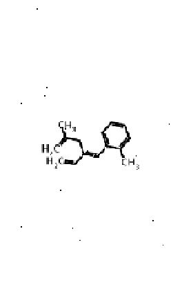 C=C/C(=C/c1ccccc1C)CC(=C)C